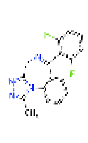 Cc1nnc2n1-c1ccccc1C(c1c(F)cccc1F)=NC2